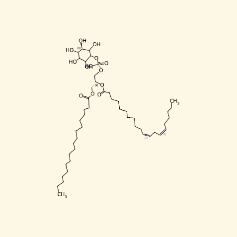 CCCCC/C=C\C/C=C\CCCCCCCCCC(=O)O[C@H](COC(=O)CCCCCCCCCCCCCCCCC)COP(=O)(O)OC1C(O)C(O)C(O)[C@@H](O)C1O